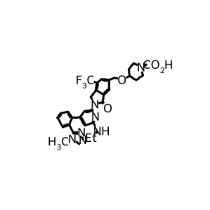 CCNc1cc(-c2ccccc2-c2nncn2C)cc(N2Cc3c(cc(COC4CCN(C(=O)O)CC4)cc3C(F)(F)F)C2=O)n1